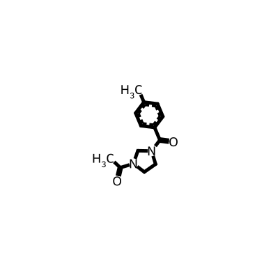 CC(=O)N1CCN(C(=O)c2ccc(C)cc2)C1